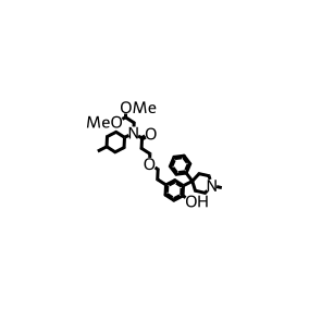 COC(CN(C(=O)CCOCCc1ccc(O)c(C2(c3ccccc3)CCN(C)CC2)c1)C1CCC(C)CC1)OC